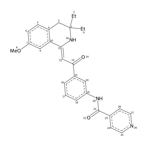 CCC1(CC)Cc2ccc(OC)cc2C(=CC(=O)c2cccc(NC(=O)c3ccncc3)c2)N1